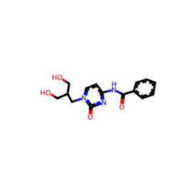 O=C(Nc1ccn(CC(CO)CO)c(=O)n1)c1ccccc1